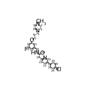 CN1CCN(CCCOc2cc(F)cc(CNC(=O)Cc3ccc(-c4ccc(Cl)cc4)cn3)c2)CC1